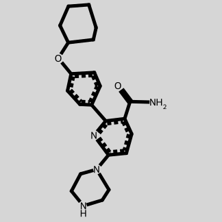 NC(=O)c1ccc(N2CCNCC2)nc1-c1ccc(OC2CCCCC2)cc1